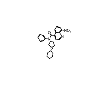 O=C(c1ccnc2c([N+](=O)[O-])cccc12)N(c1ccccc1)C1CCN(C2CCCCC2)C1